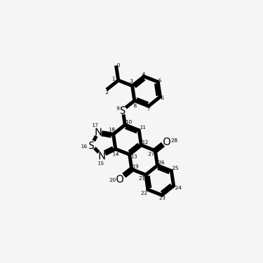 CC(C)c1ccccc1Sc1cc2c(c3nsnc13)C(=O)c1ccccc1C2=O